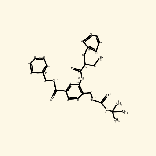 CC(C)(C)OC(=O)NCc1ccc(C(=O)OCc2ccccc2)cc1NC(=O)C(CS)Cc1ccccc1